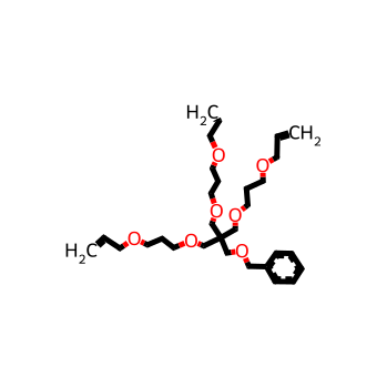 C=CCOCCCOCC(COCCCOCC=C)(COCCCOCC=C)COCc1ccccc1